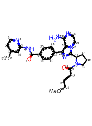 CCCc1ccnc(NC(=O)c2ccc(-c3nc(C4CCCN4C(=O)C=CCOC)n4ccnc(N)c34)cc2)c1